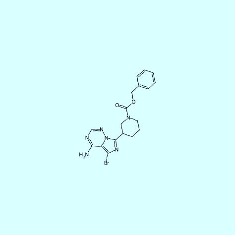 Nc1ncnn2c(C3CCCN(C(=O)OCc4ccccc4)C3)nc(Br)c12